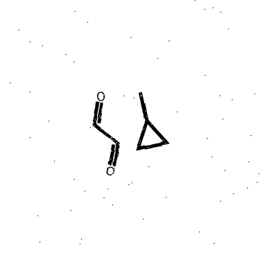 CC1CC1.O=CC=O